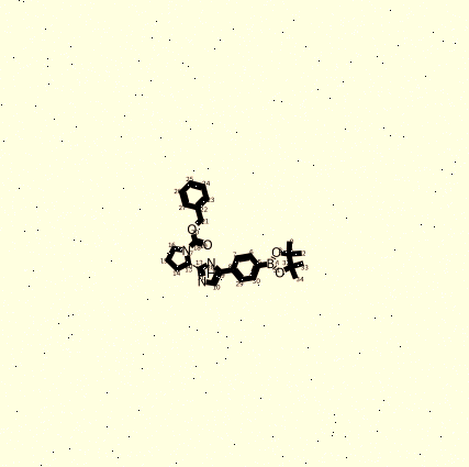 CC1(C)OB(c2ccc(-c3cnc([C@@H]4CCCN4C(=O)OCc4ccccc4)[nH]3)cc2)OC1(C)C